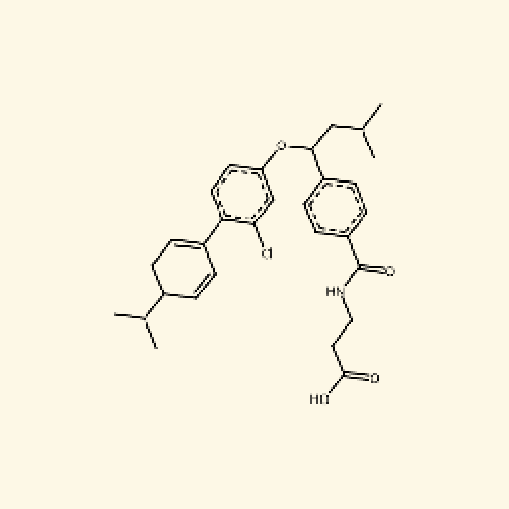 CC(C)CC(Oc1ccc(C2=CCC(C(C)C)C=C2)c(Cl)c1)c1ccc(C(=O)NCCC(=O)O)cc1